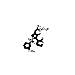 COc1cccc(S(=O)(=O)n2cc(CC(NC(=O)O)C(C)(C)C)c(F)c2-c2cccnc2Cl)c1